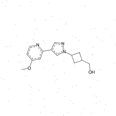 COc1ccnc(-c2cnn(C3CC(CO)C3)c2)c1